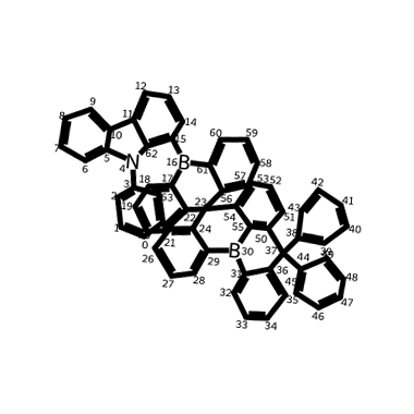 c1ccc(-n2c3ccccc3c3cccc(B4c5ccccc5C5(c6ccccc6B6c7ccccc7C(c7ccccc7)(c7ccccc7)c7cccc5c76)c5ccccc54)c32)cc1